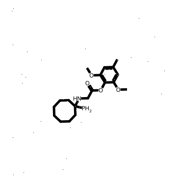 COc1cc(C)cc(OC)c1OC(=O)CNC1(P)CCCCCCC1